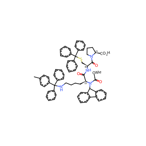 COC(=O)N(C1c2ccccc2-c2ccccc21)[C@@H](CCCCNC(c1ccccc1)(c1ccccc1)c1ccc(C)cc1)C(=O)N[C@@H](CSC(c1ccccc1)(c1ccccc1)c1ccccc1)C(=O)N1CCC[C@H]1C(=O)O